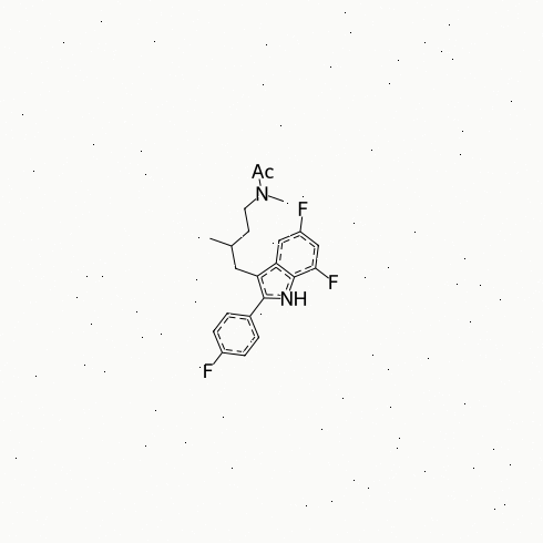 CC(=O)N(C)CCC(C)Cc1c(-c2ccc(F)cc2)[nH]c2c(F)cc(F)cc12